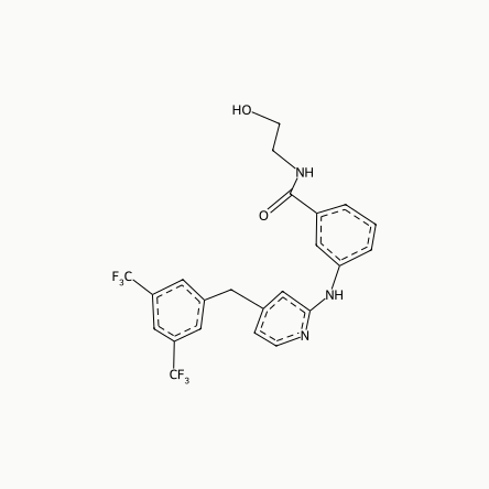 O=C(NCCO)c1cccc(Nc2cc(Cc3cc(C(F)(F)F)cc(C(F)(F)F)c3)ccn2)c1